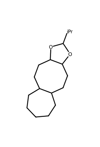 CC(C)C1OC2CCC3CCCCCC3CCC2O1